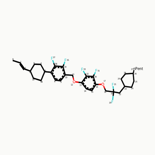 C/C=C/C1CCC(c2ccc(COc3ccc(OCC(F)(F)CC4CCC(CCCCC)CC4)c(F)c3F)c(F)c2F)CC1